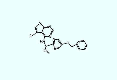 CC(Nc1ncnc2scc(Cl)c12)c1ccc(OCc2ccccc2)cn1